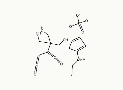 C[CH2][Mn+3][C]1=CC=CC1.O=C=CC(=C=O)C(CO)(CO)CO.O=P([O-])([O-])[O-]